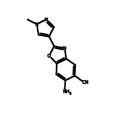 Cn1cc(-c2nc3cc(C#N)c(N)cc3o2)cn1